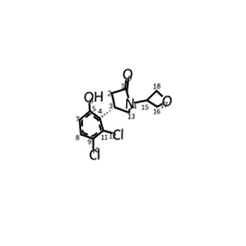 O=C1C[C@@H](c2c(O)ccc(Cl)c2Cl)CN1C1COC1